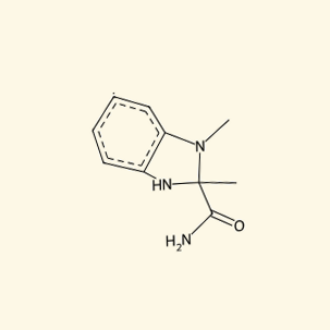 CN1c2c[c]ccc2NC1(C)C(N)=O